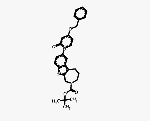 CC(C)(C)OC(=O)N1CCCc2c(sc3ccc(-n4ccc(OCc5ccccc5)cc4=O)cc23)C1